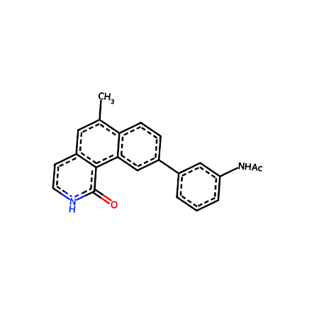 CC(=O)Nc1cccc(-c2ccc3c(C)cc4cc[nH]c(=O)c4c3c2)c1